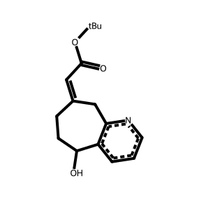 CC(C)(C)OC(=O)/C=C1/CCC(O)c2cccnc2C1